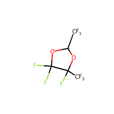 FC(F)(F)[C]1OC(F)(F)C(F)(C(F)(F)F)O1